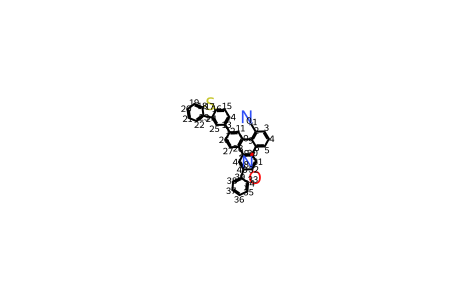 N#Cc1cccc(C#N)c1-c1cc(-c2ccc3sc4ccccc4c3c2)ccc1-c1ccc2oc3ccccc3c2c1